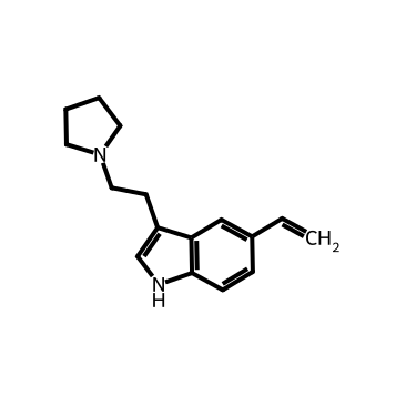 C=Cc1ccc2[nH]cc(CCN3CCCC3)c2c1